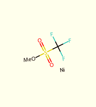 COS(=O)(=O)C(F)(F)F.[Ni]